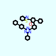 c1ccc(-c2ccc(-c3nc(-c4ccccc4)nc(-c4cccc5c4oc4c(-c6nc7ccccc7s6)ccc(-c6ccccc6)c45)n3)cc2)cc1